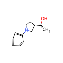 C=C(O)[C@@H]1CCN(c2ccccc2)C1